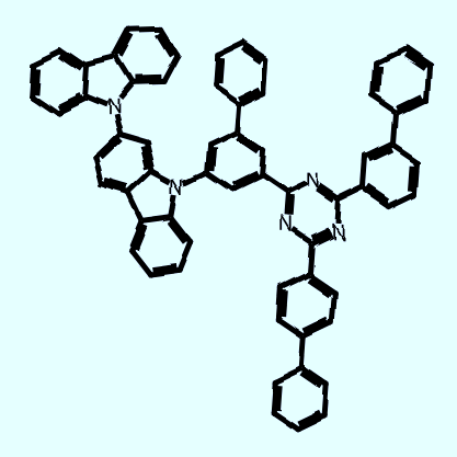 c1ccc(-c2ccc(-c3nc(-c4cccc(-c5ccccc5)c4)nc(-c4cc(-c5ccccc5)cc(-n5c6ccccc6c6ccc(-n7c8ccccc8c8ccccc87)cc65)c4)n3)cc2)cc1